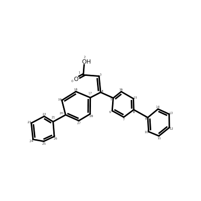 O=C(O)C=C(c1ccc(-c2ccccc2)cc1)c1ccc(-c2ccccc2)cc1